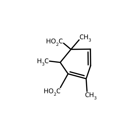 CC1=C(C(=O)O)C(C)C(C)(C(=O)O)C=C1